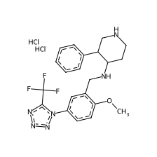 COc1ccc(-n2nnnc2C(F)(F)F)cc1CNC1CCNCC1c1ccccc1.Cl.Cl